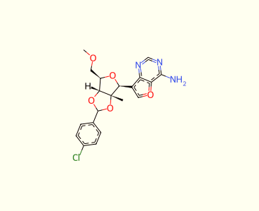 COC[C@H]1O[C@@H](c2coc3c(N)ncnc23)[C@]2(C)OC(c3ccc(Cl)cc3)O[C@H]12